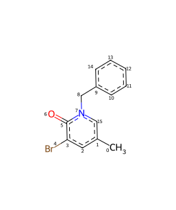 Cc1cc(Br)c(=O)n(Cc2ccccc2)c1